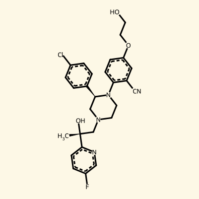 C[C@@](O)(CN1CCN(c2ccc(OCCO)cc2C#N)[C@H](c2ccc(Cl)cc2)C1)c1ccc(F)cn1